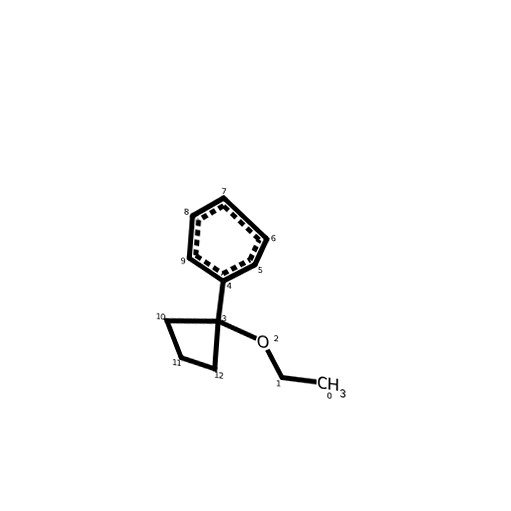 CCOC1(c2ccccc2)CCC1